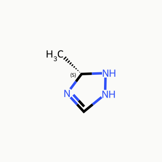 C[C@H]1N=CNN1